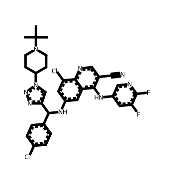 CC(C)(C)N1CCC(n2cc(C(Nc3cc(Cl)c4ncc(C#N)c(Nc5cnc(F)c(F)c5)c4c3)c3ccc(Cl)cc3)nn2)CC1